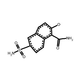 NC(=O)c1c([O])ccc2cc(S(N)(=O)=O)ccc12